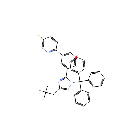 CCC(C)(C)Cc1cn(C(c2ccccc2)(c2ccccc2)c2ccccc2)c(-c2[c]ccc(-c3ccc(F)cn3)c2)n1